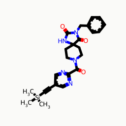 C[Si](C)(C)C#Cc1cnc(C(=O)N2CCC3(CC2)NC(=O)N(Cc2ccccc2)C3=O)nc1